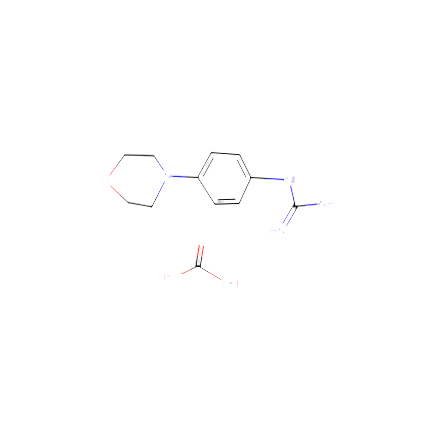 N=C(N)Nc1ccc(N2CCOCC2)cc1.O=C(O)O